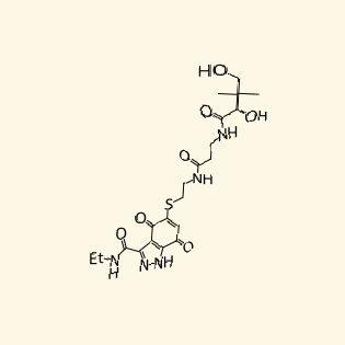 CCNC(=O)c1n[nH]c2c1C(=O)C(SCCNC(=O)CCNC(=O)[C@H](O)C(C)(C)CO)=CC2=O